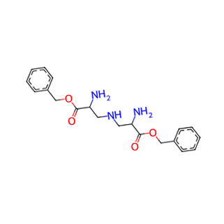 NC(CNCC(N)C(=O)OCc1ccccc1)C(=O)OCc1ccccc1